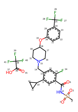 CS(=O)(=O)NC(=O)c1cc(C2CC2)c(CN2CCC(Oc3cccc(C(F)(F)F)c3)CC2)cc1F.O=C(O)C(F)(F)F